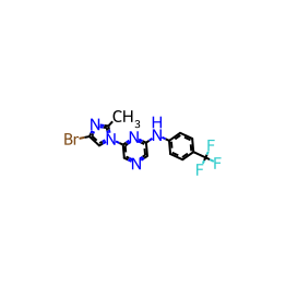 Cc1nc(Br)cn1-c1cncc(Nc2ccc(C(F)(F)F)cc2)n1